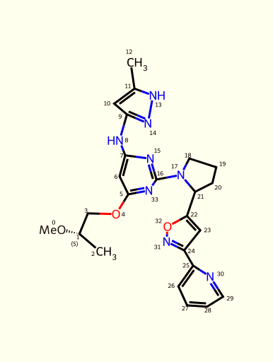 CO[C@@H](C)COc1cc(Nc2cc(C)[nH]n2)nc(N2CCCC2c2cc(-c3ccccn3)no2)n1